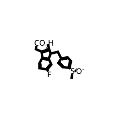 CC1=C(CC(=O)O)c2ccc(F)cc2C1Cc1ccc([S+](C)[O-])cc1